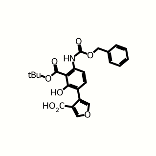 CC(C)(C)OC(=O)c1c(NC(=O)OCc2ccccc2)ccc(-c2cocc2C(=O)O)c1O